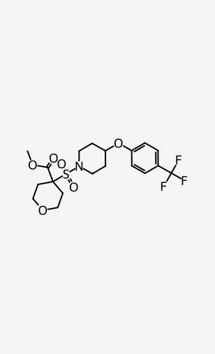 COC(=O)C1(S(=O)(=O)N2CCC(Oc3ccc(C(F)(F)F)cc3)CC2)CCOCC1